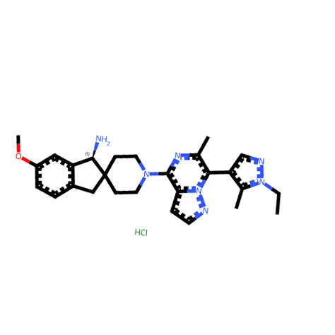 CCn1ncc(-c2c(C)nc(N3CCC4(CC3)Cc3ccc(OC)cc3[C@H]4N)c3ccnn23)c1C.Cl